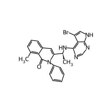 Cc1cccc2cc([C@H](C)Nc3ncnc4[nH]cc(Br)c34)n(-c3ccccc3)c(=O)c12